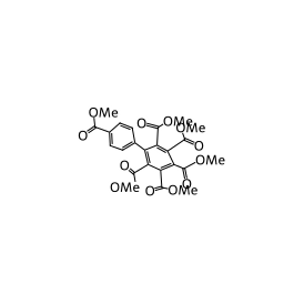 COC(=O)c1ccc(-c2c(C(=O)OC)c(C(=O)OC)c(C(=O)OC)c(C(=O)OC)c2C(=O)OC)cc1